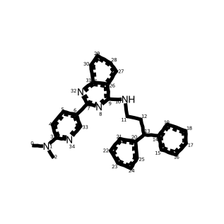 CN(C)c1ccc(-c2nc(NCCC(c3ccccc3)c3ccccc3)c3ccccc3n2)cn1